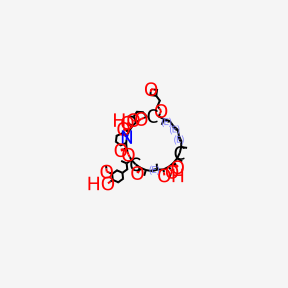 COC1CC(CC(C)C2CC(=O)C(C)/C=C(\C)C(O)C(OC)C(=O)C(C)CC(C)/C=C/C=C/C=C(\C)C(OCCC3COC3)CC3CCC(C)C(O)(O3)C(=O)C(=O)N3CCCCC3C(=O)O2)CCC1O